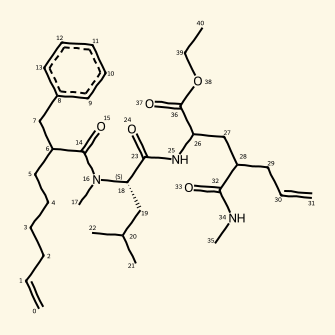 C=CCCCCC(Cc1ccccc1)C(=O)N(C)[C@@H](CC(C)C)C(=O)NC(CC(CC=C)C(=O)NC)C(=O)OCC